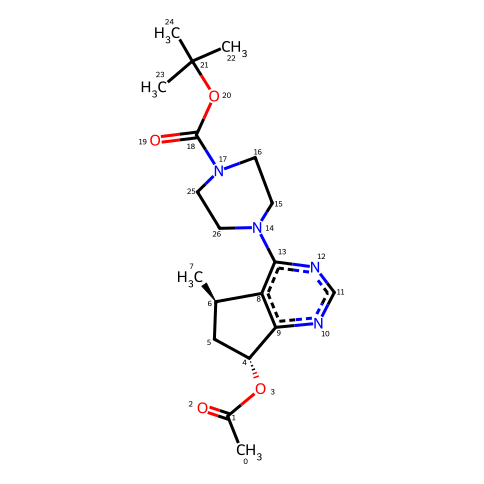 CC(=O)O[C@@H]1C[C@@H](C)c2c1ncnc2N1CCN(C(=O)OC(C)(C)C)CC1